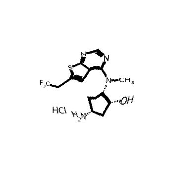 CN(c1ncnc2sc(CC(F)(F)F)cc12)[C@H]1C[C@@H](N)C[C@H]1O.Cl